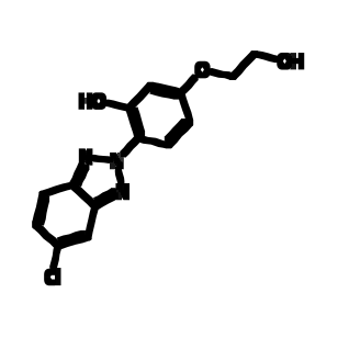 OCCOc1ccc(-n2nc3ccc(Cl)cc3n2)c(O)c1